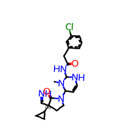 CN1C(NC(=O)Cc2cccc(Cl)c2)NC=CC1N1CC[C@@](C=N)(C2CC2)C1=O